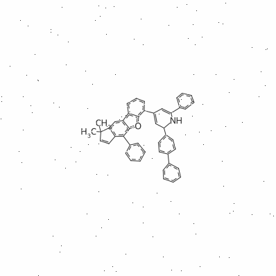 CC1(C)C=Cc2c1cc1c(oc3c(C4=CC(c5ccc(-c6ccccc6)cc5)NC(c5ccccc5)=C4)cccc31)c2-c1ccccc1